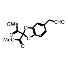 COC(=O)C1(C(=O)OC)Oc2ccc(CC=O)cc2O1